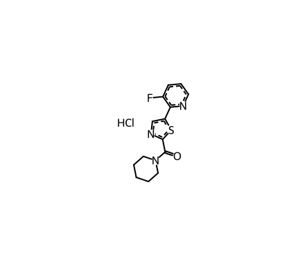 Cl.O=C(c1ncc(-c2ncccc2F)s1)N1CCCCC1